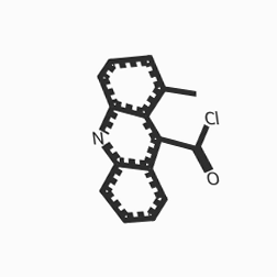 Cc1cccc2nc3ccccc3c(C(=O)Cl)c12